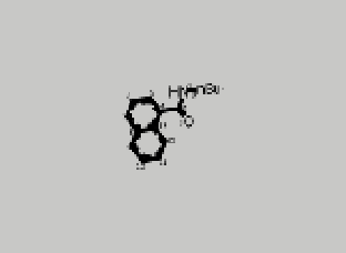 CCC[CH]NC(=O)c1cccc2ccccc12